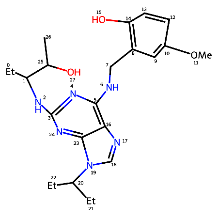 CCC(Nc1nc(NCc2cc(OC)ccc2O)c2ncn(C(CC)CC)c2n1)C(C)O